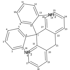 Nc1ccccc1C1(c2ccccc2N)c2ccccc2Cc2ccccc21